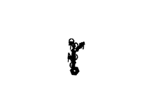 CCCCC[C@H](CN(O)C=O)c1nnc(COc2ccccc2)o1